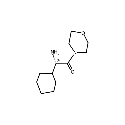 N[C@H](C(=O)N1CCOCC1)C1CCCCC1